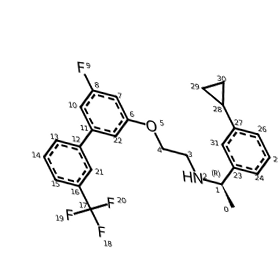 C[C@@H](NCCOc1cc(F)cc(-c2cccc(C(F)(F)F)c2)c1)c1cccc(C2CC2)c1